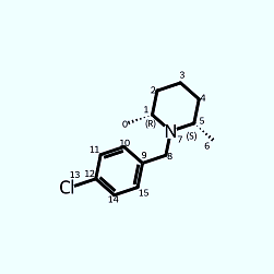 C[C@@H]1CCC[C@H](C)N1Cc1ccc(Cl)cc1